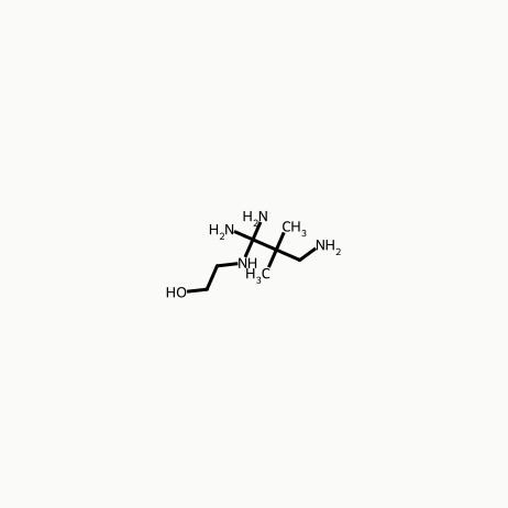 CC(C)(CN)C(N)(N)NCCO